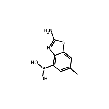 Cc1cc(B(O)O)c2nc(N)sc2c1